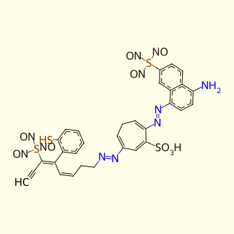 C#C/C(=C(\C=C/CCN=NC1=CCC=C(N=Nc2ccc(N)c3ccc(S(N=O)(N=O)N=O)cc23)C(S(=O)(=O)O)=C1)c1ccccc1S)S(N=O)(N=O)N=O